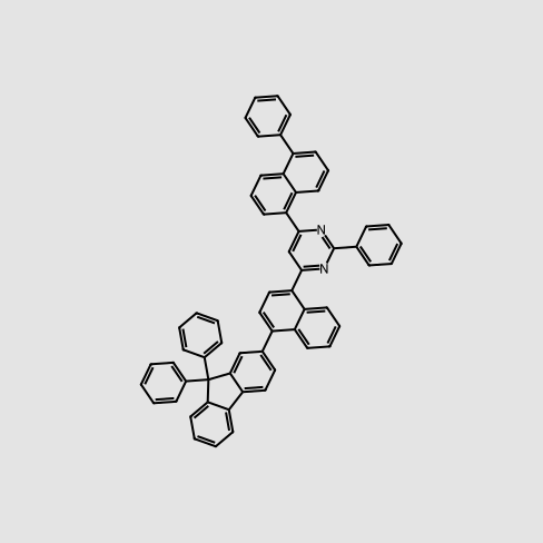 c1ccc(-c2nc(-c3cccc4c(-c5ccccc5)cccc34)cc(-c3ccc(-c4ccc5c(c4)C(c4ccccc4)(c4ccccc4)c4ccccc4-5)c4ccccc34)n2)cc1